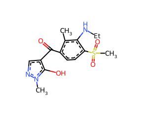 CCNc1c(S(C)(=O)=O)ccc(C(=O)c2cnn(C)c2O)c1C